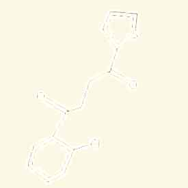 O=C(CCC(=O)c1ccccc1Cl)c1cccs1